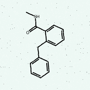 CNC(=O)c1ccccc1[CH]c1ccccc1